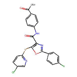 COC(=O)c1ccc(NC(=O)c2nc(-c3ccc(F)cc3)oc2Sc2ccc(Cl)cn2)cc1